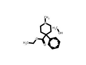 CCOC(=O)C1(c2ccccc2)CCN(C)CC1.CO